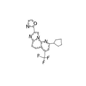 FC(F)(F)c1cc(C2CCCC2)nc2c1ccc1nc(-c3ncco3)cn12